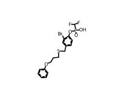 O=P(O)(Oc1ccc(CSCCCOc2ccccc2)cc1Br)C(F)F